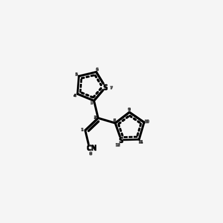 N#CC=C(c1cccs1)c1cccs1